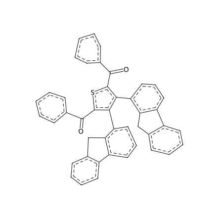 O=C(c1ccccc1)c1sc(C(=O)c2ccccc2)c(-c2cccc3c2Cc2ccccc2-3)c1-c1cccc2c1Cc1ccccc1-2